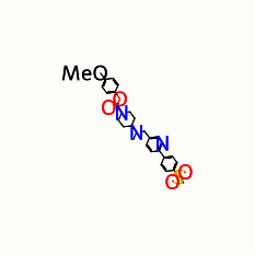 COc1ccc(OC(=O)N2CCC(N(C)Cc3ccc(-c4ccc(S(C)(=O)=O)cc4)nc3)CC2)cc1